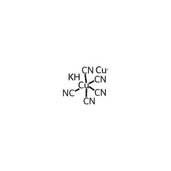 N#[C][Cu]([C]#N)([C]#N)([C]#N)[C]#N.[Cu].[KH]